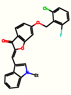 CCn1cc(/C=C2\Oc3cc(OCc4c(F)cccc4Cl)ccc3C2=O)c2ccccc21